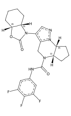 O=C(Nc1cc(F)c(F)c(F)c1)N1Cc2c(N3C(=O)O[C@@H]4CCCC[C@@H]43)cnn2[C@@H]2CCC[C@@H]21